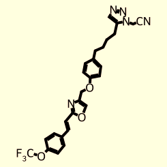 N#CCn1nncc1CCCCc1ccc(OCc2coc(/C=C/c3ccc(OC(F)(F)F)cc3)n2)cc1